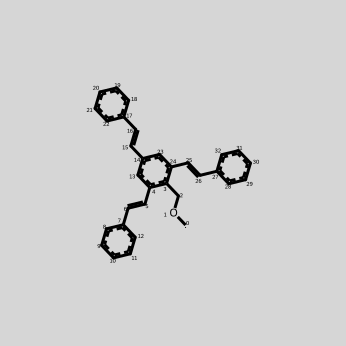 [CH2]OCc1c(C=Cc2ccccc2)cc(C=Cc2ccccc2)cc1C=Cc1ccccc1